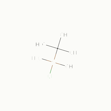 CC(C)(C)S(C)(C)Cl